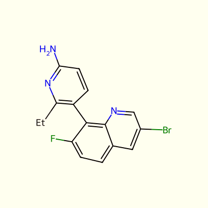 CCc1nc(N)ccc1-c1c(F)ccc2cc(Br)cnc12